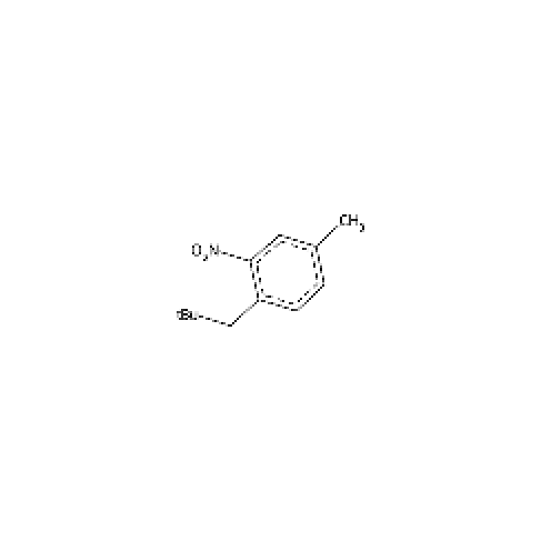 Cc1ccc(CC(C)(C)C)c([N+](=O)[O-])c1